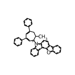 CC1CC(c2ccccc2)=CC(c2ccccc2)=C[C@@H]1n1c2ccccc2c2c3oc4ccccc4c3ccc21